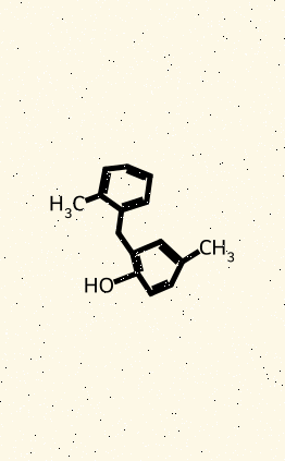 Cc1ccc(O)c(Cc2ccccc2C)c1